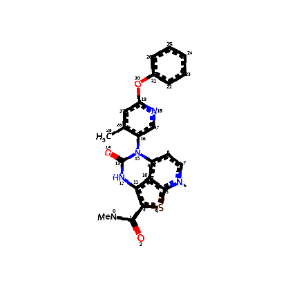 CNC(=O)c1sc2nccc3c2c1NC(=O)N3c1cnc(Oc2ccccc2)cc1C